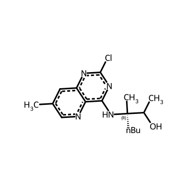 CCCC[C@@](C)(Nc1nc(Cl)nc2cc(C)cnc12)C(C)O